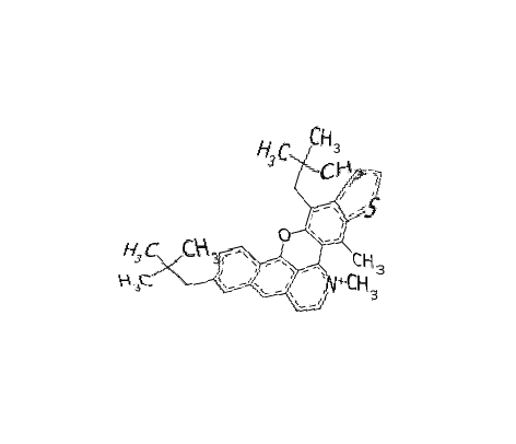 Cc1c2c(c(CC(C)(C)C)c3ccsc13)Oc1c3ccc(CC(C)(C)C)cc3cc3cc[n+](C)c-2c13